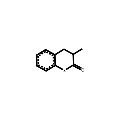 CC1Cc2ccccc2SC1=O